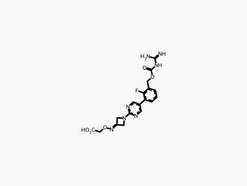 N=C(N)NC(=O)OCc1cccc(-c2cnc(N3CC(=NOCC(=O)O)C3)nc2)c1F